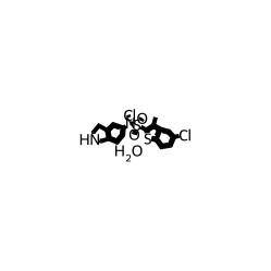 Cc1c(S(=O)(=O)N(Cl)c2ccc3c(c2)CCNC3)sc2ccc(Cl)cc12.O